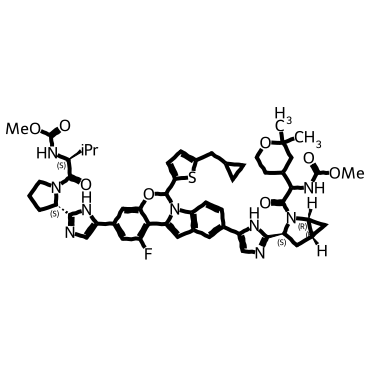 COC(=O)NC(C(=O)N1[C@@H]2C[C@@H]2C[C@H]1c1ncc(-c2ccc3c(c2)cc2n3C(c3ccc(CC4CC4)s3)Oc3cc(-c4cnc([C@@H]5CCCN5C(=O)[C@@H](NC(=O)OC)C(C)C)[nH]4)cc(F)c3-2)[nH]1)C1CCOC(C)(C)C1